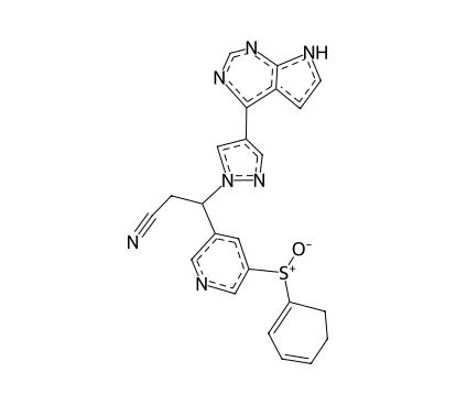 N#CCC(c1cncc([S+]([O-])C2=CC=CCC2)c1)n1cc(-c2ncnc3[nH]ccc23)cn1